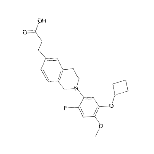 COc1cc(F)c(N2CCc3cc(CCC(=O)O)ccc3C2)cc1OC1CCC1